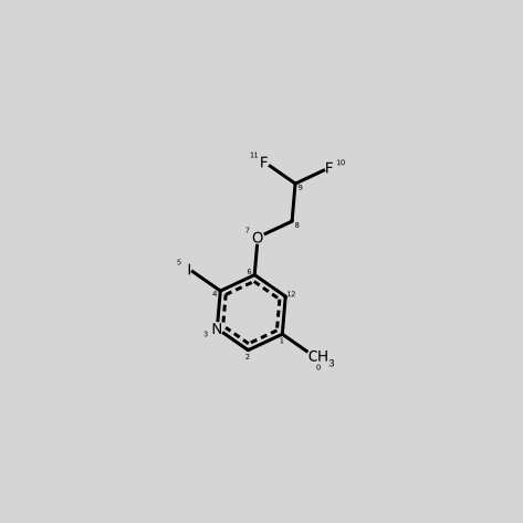 Cc1cnc(I)c(OCC(F)F)c1